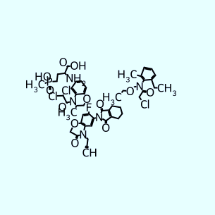 C#CCN1C(=O)COc2cc(F)c(N3C(=O)C4=C(CCCC4)C3=O)cc21.CC1COc2ccccc2N1C(=O)C(Cl)Cl.CCOCN(C(=O)CCl)c1c(C)cccc1CC.CP(=O)(O)CCC(N)C(=O)O